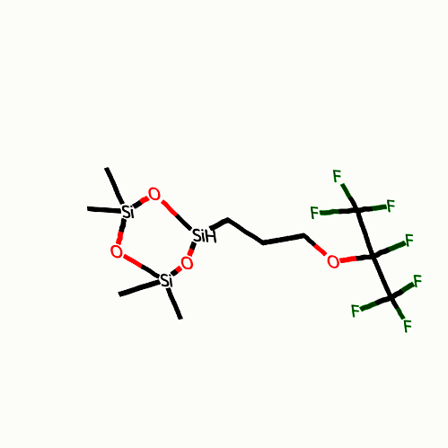 C[Si]1(C)O[SiH](CCCOC(F)(C(F)(F)F)C(F)(F)F)O[Si](C)(C)O1